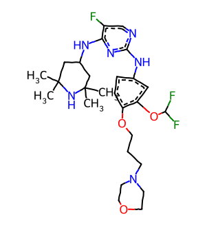 CC1(C)CC(Nc2nc(Nc3ccc(OCCCN4CCOCC4)c(OC(F)F)c3)ncc2F)CC(C)(C)N1